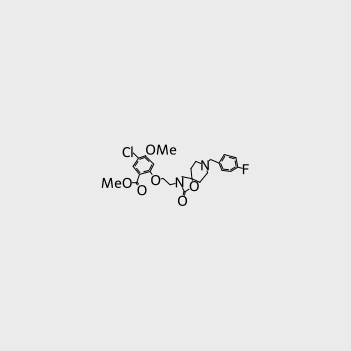 COC(=O)c1cc(Cl)c(OC)cc1OCCN1CC2(CCN(Cc3ccc(F)cc3)CC2)OC1=O